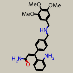 COc1cc(CNCc2ccc(C(=CC(N)=O)c3ccccc3N)cc2)cc(OC)c1OC